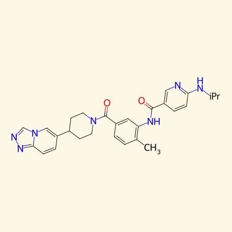 Cc1ccc(C(=O)N2CCC(c3ccc4nncn4c3)CC2)cc1NC(=O)c1ccc(NC(C)C)nc1